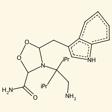 CC(C)C(CN)(C(C)C)N1C(Cc2c[nH]c3ccccc23)OOC1C(N)=O